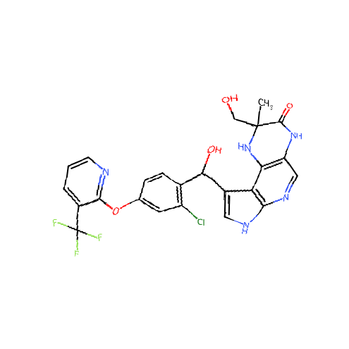 CC1(CO)Nc2c(cnc3[nH]cc(C(O)c4ccc(Oc5ncccc5C(F)(F)F)cc4Cl)c23)NC1=O